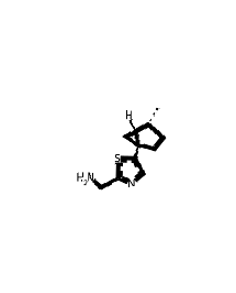 C[C@@H]1CC[C@]2(c3cnc(CN)s3)C[C@H]12